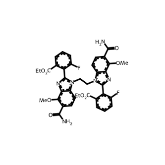 CCOC(=O)c1cccc(F)c1-c1nc2c(OC)c(C(N)=O)ccc2n1CCn1c(-c2c(F)cccc2C(=O)OCC)nc2c(OC)c(C(N)=O)ccc21